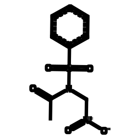 CC(=O)N(C[N+](=O)[O-])S(=O)(=O)c1ccccc1